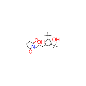 CC(C)(C)c1cc(CC(O)CN2C(=O)CCCC2=O)cc(C(C)(C)C)c1O